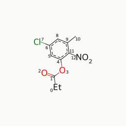 CCC(=O)Oc1cc(Cl)cc(C)c1[N+](=O)[O-]